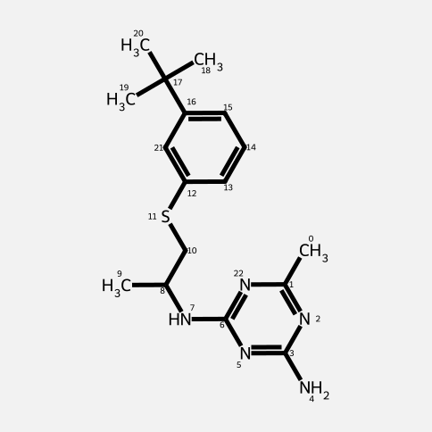 Cc1nc(N)nc(NC(C)CSc2cccc(C(C)(C)C)c2)n1